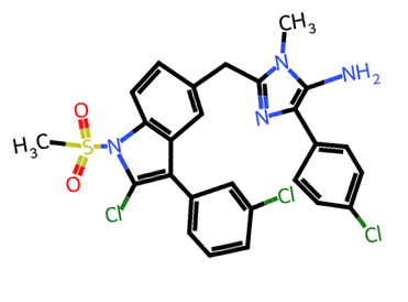 Cn1c(Cc2ccc3c(c2)c(-c2cccc(Cl)c2)c(Cl)n3S(C)(=O)=O)nc(-c2ccc(Cl)cc2)c1N